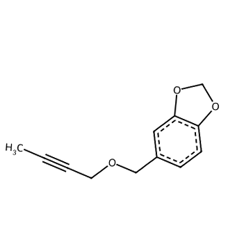 CC#CCOCc1ccc2c(c1)OCO2